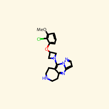 COc1cccc(OC2CN(c3c4c(nc5ccnn35)CCNCC4)C2)c1Cl